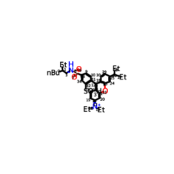 CCCCC(CC)CNS(=O)(=O)c1ccc(-c2c3ccc(=[N+](CC)CC)cc-3oc3cc(C(CC)CC)ccc23)c(S(=O)(=O)O)c1